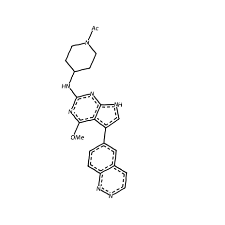 COc1nc(NC2CCN(C(C)=O)CC2)nc2[nH]cc(-c3ccc4nnccc4c3)c12